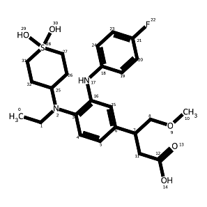 CCN(c1ccc(C(COC)CC(=O)O)cc1Nc1ccc(F)cc1)C1CCS(O)(O)CC1